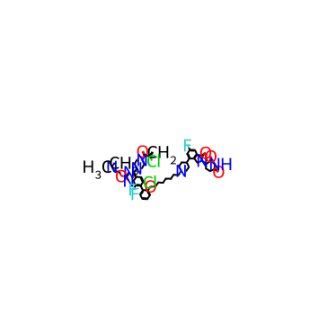 C=C(Cl)C(=O)N1CCN(c2nc(OCCN(C)C)nc3c(F)c(-c4c(F)cccc4OCCCCCCCN4CCC(c5cc(F)cc6c5CN(C5CCC(=O)NC5=O)C6=O)CC4)c(Cl)cc23)CC1